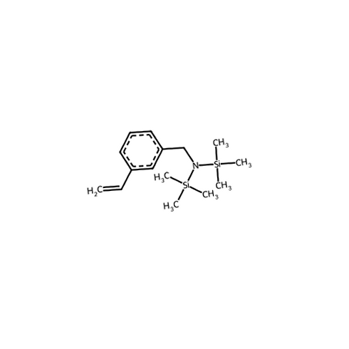 C=Cc1cccc(CN([Si](C)(C)C)[Si](C)(C)C)c1